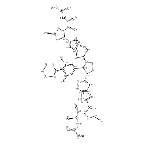 COC(=O)N[C@H](C(=O)C1C[C@H](F)CC1c1nc2cc([C@H]3CC[C@H](c4ccc5[nH]c(C6C[C@@H](F)CN6C(=O)[C@@H](NC(=O)OC)C(C)C)nc5c4)N3c3cc(F)c(N4CCCCC4)c(F)c3)ccc2[nH]1)C(C)C